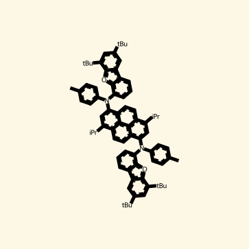 Cc1ccc(N(c2cc(C(C)C)c3ccc4c(N(c5ccc(C)cc5)c5cccc6c5oc5c(C(C)(C)C)cc(C(C)(C)C)cc56)cc(C(C)C)c5ccc2c3c54)c2cccc3c2oc2c(C(C)(C)C)cc(C(C)(C)C)cc23)cc1